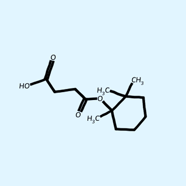 CC1(C)CCCCC1(C)OC(=O)CCC(=O)O